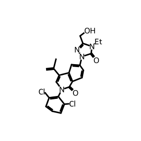 C=C(C)c1cn(-c2c(Cl)cccc2Cl)c(=O)c2ccc(-n3nc(CO)n(CC)c3=O)cc12